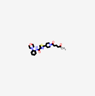 CC(=O)CCCC(=O)N1CCC(c2nc(C(=O)Nc3ccccc3N3CCOCC3)cs2)CC1